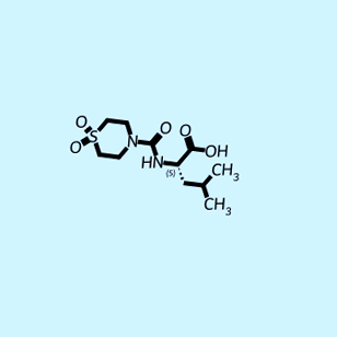 CC(C)C[C@H](NC(=O)N1CCS(=O)(=O)CC1)C(=O)O